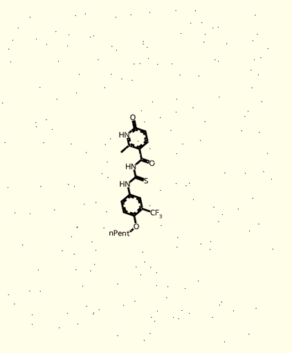 CCCCCOc1ccc(NC(=S)NC(=O)c2ccc(=O)[nH]c2C)cc1C(F)(F)F